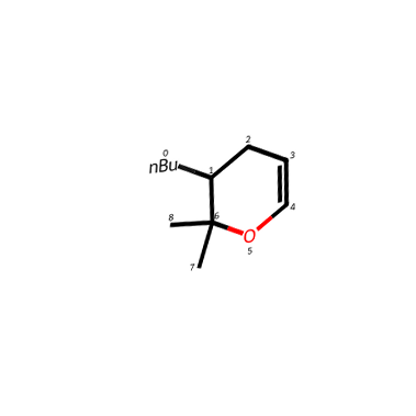 CCCCC1CC=COC1(C)C